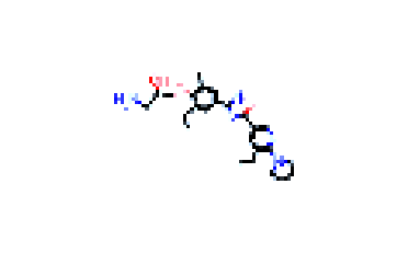 CCc1cc(-c2nc(-c3cc(C)c(OCC(O)CN)c(CC)c3)no2)cnc1N1CCCC1